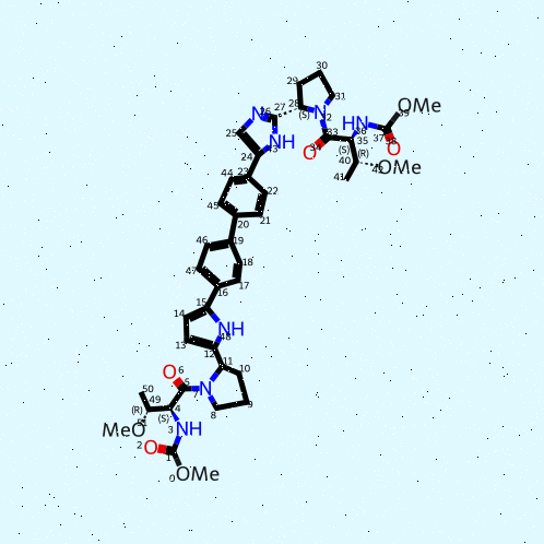 COC(=O)N[C@H](C(=O)N1CCCC1c1ccc(-c2ccc(-c3ccc(-c4cnc([C@@H]5CCCN5C(=O)[C@@H](NC(=O)OC)[C@@H](C)OC)[nH]4)cc3)cc2)[nH]1)[C@@H](C)OC